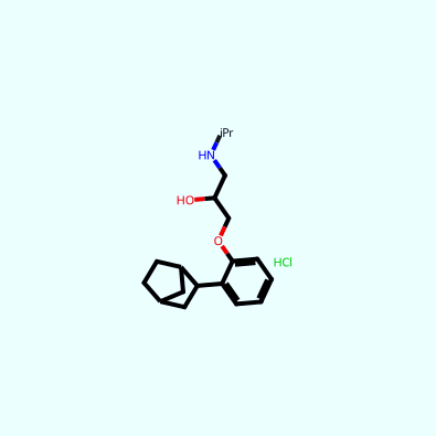 CC(C)NCC(O)COc1ccccc1C1CC2CCC1C2.Cl